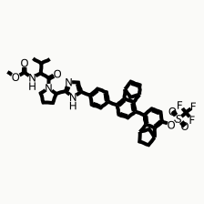 COC(=O)NC(C(=O)N1CCCC1c1ncc(-c2ccc(-c3ccc(-c4ccc(OS(=O)(=O)C(F)(F)F)c5c4C4CCC5C4)c4c3C3C=CC4C3)cc2)[nH]1)C(C)C